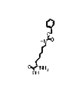 N[C@@H](CCCCCCNC(=O)OCc1ccccc1)C(=O)O